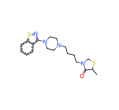 CC1SCN(CCCCN2CCN(c3nsc4ccccc34)CC2)C1=O